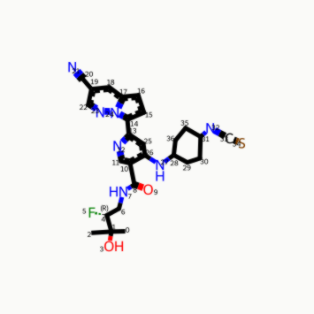 CC(C)(O)[C@H](F)CNC(=O)c1cnc(-c2ccc3cc(C#N)cnn23)cc1NC1CCC(N=C=S)CC1